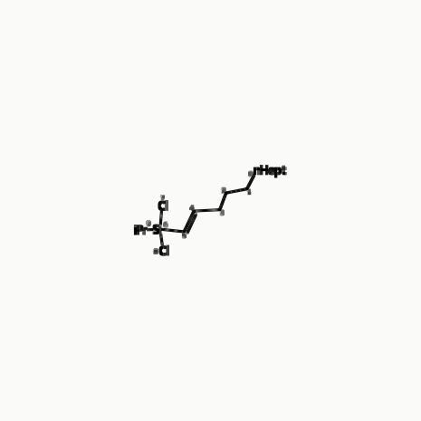 CCCCCCCCCCC=C[Si](Cl)(Cl)C(C)C